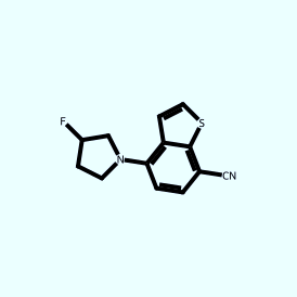 N#Cc1ccc(N2CCC(F)C2)c2ccsc12